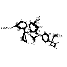 O=C(O)c1cccc(C2(n3c(=O)n(-c4ccc(C5(CO)CCC5)cc4)c4cc(Cl)ccc43)CC2)c1